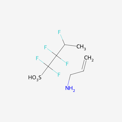 C=CCN.CC(F)C(F)(F)C(F)(F)S(=O)(=O)O